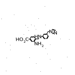 Nc1cc(C(=O)O)ccc1CNc1cccc(Cn2ccnc2)c1